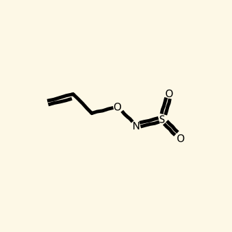 C=CCON=S(=O)=O